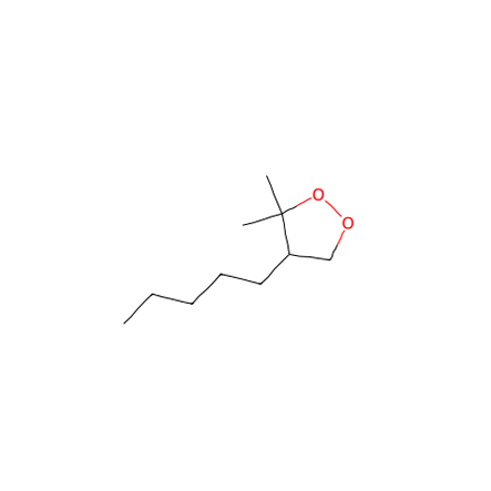 CCCCCC1COOC1(C)C